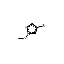 Brc1cnn(PI)c1